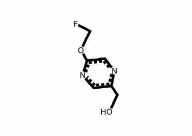 OCc1cnc(OCF)cn1